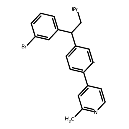 Cc1cc(-c2[c]cc(C(CC(C)C)c3cccc(Br)c3)cc2)ccn1